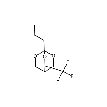 CCCC12OCC(CO1)C(C(F)(F)F)O2